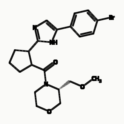 COC[C@@H]1COCCN1C(=O)C1CCCC1c1ncc(-c2ccc(Br)cc2)[nH]1